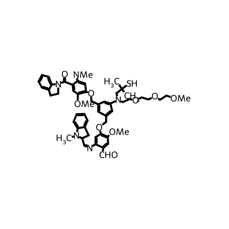 CNc1cc(OCc2cc(COc3cc(/N=C\C4Cc5ccccc5N4C)c(C=O)cc3OC)cc(N(CCOCCOCCOC)CC(C)(C)S)c2)c(OC)cc1C(=O)N1CCc2ccccc21